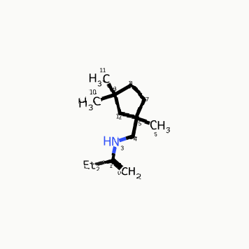 C=C(CC)NCC1(C)CCC(C)(C)C1